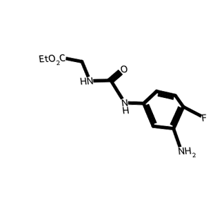 CCOC(=O)CNC(=O)Nc1ccc(F)c(N)c1